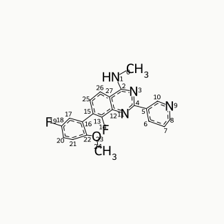 CNc1nc(-c2cccnc2)nc2c(F)c(-c3cc(F)ccc3OC)ccc12